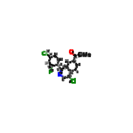 COC(=O)c1ccc2c(Cl)cnc(-c3ccc(Cl)cc3F)c2c1